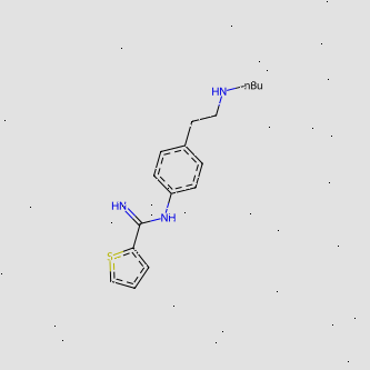 CCCCNCCc1ccc(NC(=N)c2cccs2)cc1